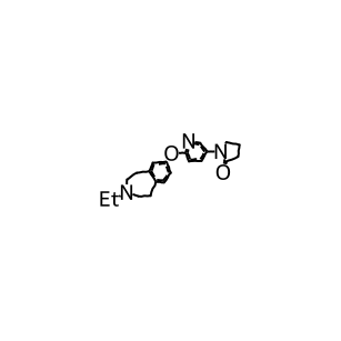 CCN1CCc2ccc(Oc3ccc(N4CCCC4=O)cn3)cc2CC1